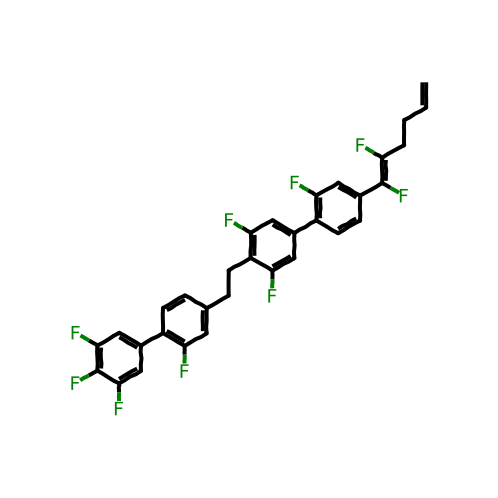 C=CCC/C(F)=C(\F)c1ccc(-c2cc(F)c(CCc3ccc(-c4cc(F)c(F)c(F)c4)c(F)c3)c(F)c2)c(F)c1